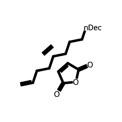 C=C.C=CCCCCCCCCCCCCCCCC.O=C1C=CC(=O)O1